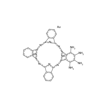 Nc1c(N)c(N)c2c3nc4nc(nc5[nH]c(nc6nc(nc([nH]3)c2c1N)-c1ccccc1-6)c1ccccc51)-c1ccccc1-4.[Au]